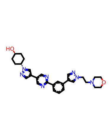 O[C@H]1CC[C@H](n2cc(-c3cnc(-c4cccc(-c5cnn(CCN6CCOCC6)c5)c4)nc3)cn2)CC1